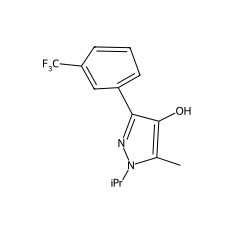 Cc1c(O)c(-c2cccc(C(F)(F)F)c2)nn1C(C)C